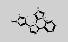 Cn1cc(N2C=NC3c4ccccc4-n4cncc4N32)nn1